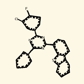 Fc1ccc(-c2nc(-c3ccccc3)nc(-c3cccc4c3sc3ccccc34)n2)cc1Cl